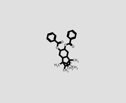 CC1[C@@H](C)C2(C)C3CC(OC(=O)c4ccccc4)C(OC(=O)c4ccccc4)CC3C1(C)C2C